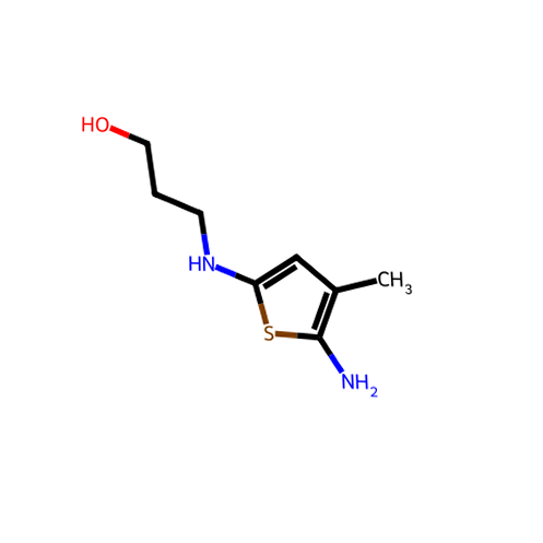 Cc1cc(NCCCO)sc1N